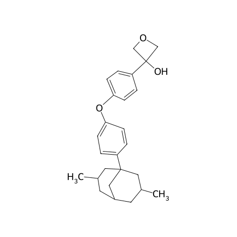 CC1CC2CC(C)CC(c3ccc(Oc4ccc(C5(O)COC5)cc4)cc3)(C1)C2